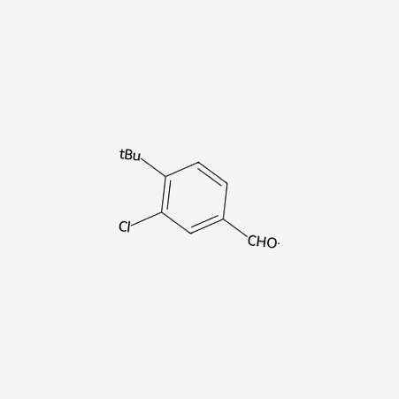 CC(C)(C)c1ccc([C]=O)cc1Cl